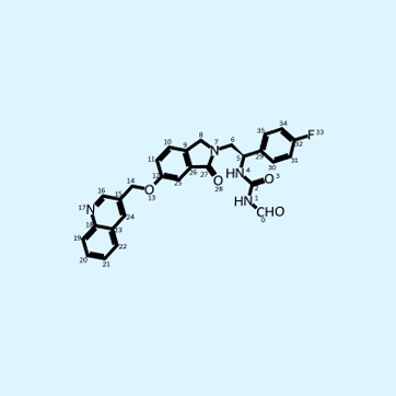 O=CNC(=O)N[C@@H](CN1Cc2ccc(OCc3cnc4ccccc4c3)cc2C1=O)c1ccc(F)cc1